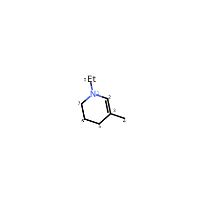 CCN1C=C(C)CCC1